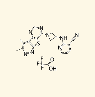 Cc1nnc2sc3c(N4CC(Nc5ncccc5C#N)C4)ncnc3c2c1C.O=C(O)C(F)(F)F